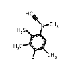 C#CN(C)c1cc(C)c(F)c(C)c1[SiH3]